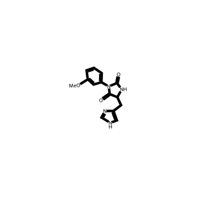 COc1cccc(N2C(=O)NC(Cc3c[nH]cn3)C2=O)c1